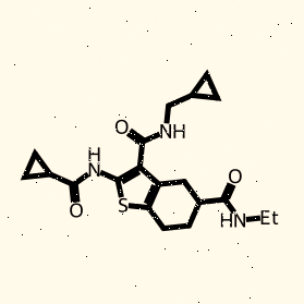 CCNC(=O)C1CCc2sc(NC(=O)C3CC3)c(C(=O)NCC3CC3)c2C1